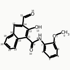 COc1ccccc1NC(=O)c1c(O)c([C]=O)cc2ccccc12